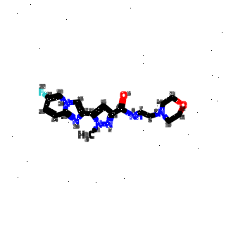 Cn1nc(C(=O)NCCN2CCOCC2)cc1-c1cn2cc(F)ccc2n1